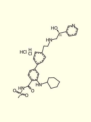 CS(=O)(=O)NC(=O)c1ccc(-c2ccc(CCNC[C@@H](O)c3cccnc3)cc2)cc1NC1CCCCC1.Cl.Cl